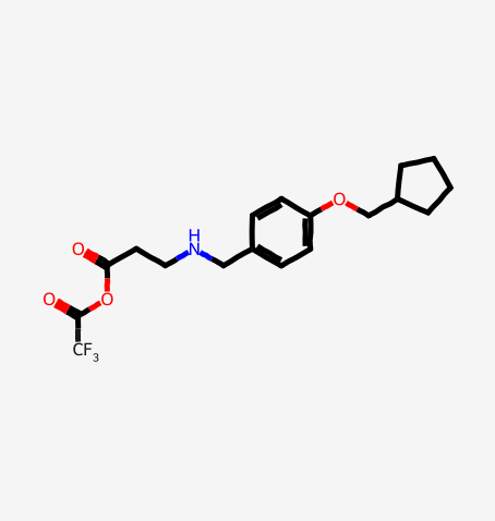 O=C(CCNCc1ccc(OCC2CCCC2)cc1)OC(=O)C(F)(F)F